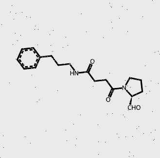 O=C[C@@H]1CCCN1C(=O)CCC(=O)NCCCc1ccccc1